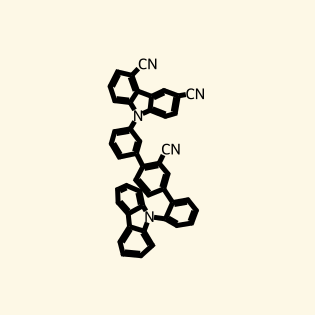 N#Cc1ccc2c(c1)c1c(C#N)cccc1n2-c1cccc(-c2ccc(-c3ccccc3-n3c4ccccc4c4ccccc43)cc2C#N)c1